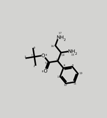 CC(C)(C)OC(=O)C(c1ccccc1)C(N)CN